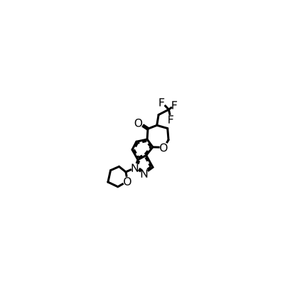 O=C1c2ccc3c(cnn3C3CCCCO3)c2OCCC1CC(F)(F)F